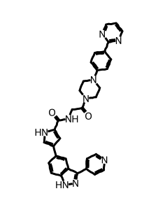 O=C(NCC(=O)N1CCN(c2ccc(-c3ncccn3)cc2)CC1)c1cc(-c2ccc3[nH]nc(-c4ccncc4)c3c2)c[nH]1